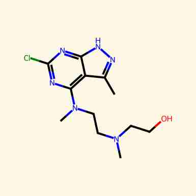 Cc1n[nH]c2nc(Cl)nc(N(C)CCN(C)CCO)c12